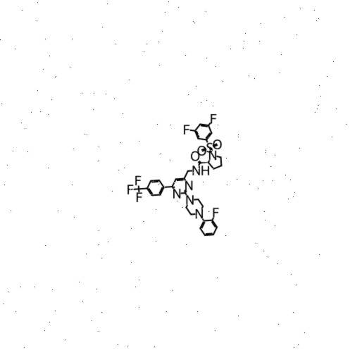 O=C(NCc1cc(-c2ccc(C(F)(F)F)cc2)nc(N2CCN(c3ccccc3F)CC2)n1)[C@@H]1CCCN1S(=O)(=O)c1cc(F)cc(F)c1